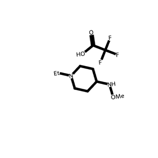 CCN1CCC(NOC)CC1.O=C(O)C(F)(F)F